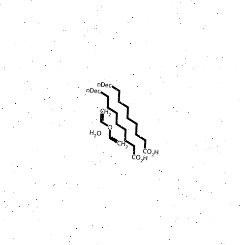 C=COC=C.CCCCCCCCCCCCCCCCCC(=O)O.CCCCCCCCCCCCCCCCCC(=O)O.O